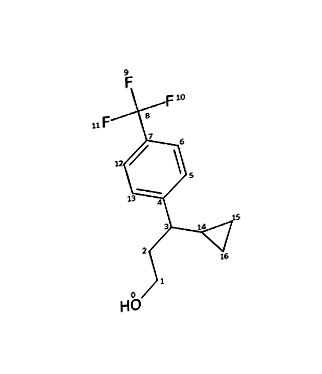 OCCC(c1ccc(C(F)(F)F)cc1)C1CC1